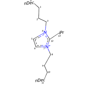 CCCCCCCCCCCCCn1cc[n+](CCCCCCCCCCCCC)c1C(C)C